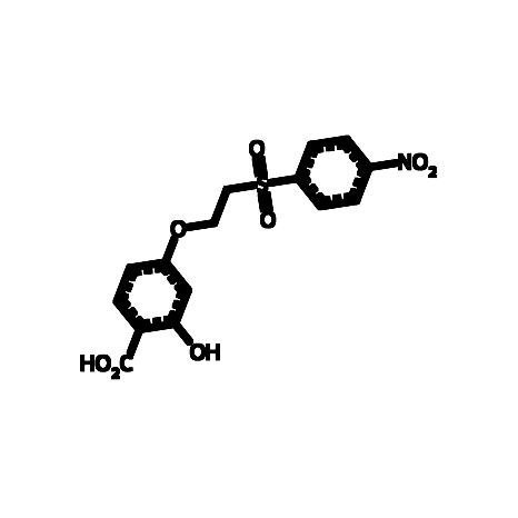 O=C(O)c1ccc(OCCS(=O)(=O)c2ccc([N+](=O)[O-])cc2)cc1O